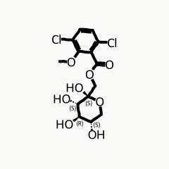 COc1c(Cl)ccc(Cl)c1C(=O)OC[C@]1(O)OC[C@H](O)[C@@H](O)[C@@H]1O